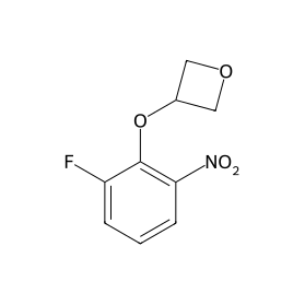 O=[N+]([O-])c1cccc(F)c1OC1COC1